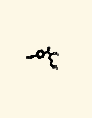 C#Cc1ccc(C(=O)N(C)CCCC)cc1